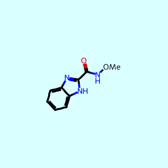 CONC(=O)c1nc2ccccc2[nH]1